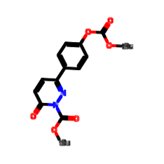 CC(C)(C)OC(=O)Oc1ccc(-c2ccc(=O)n(C(=O)OC(C)(C)C)n2)cc1